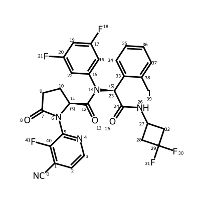 N#Cc1ccnc(N2C(=O)CC[C@H]2C(=O)N(c2cc(F)cc(F)c2)[C@H](C(=O)NC2CC(F)(F)C2)c2ccccc2I)c1F